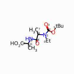 CCN(C(=O)OC(C)(C)C)C(C)C(=O)NC(C)C(=O)O